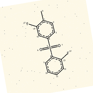 Cc1ccc(S(=O)(=O)c2ccccc2F)cc1F